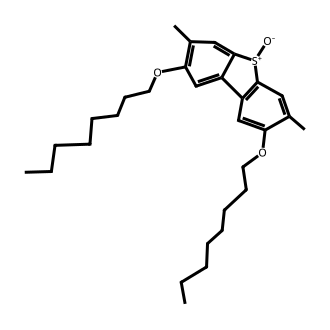 CCCCCCCCOc1cc2c3cc(OCCCCCCCC)c(C)cc3[s+]([O-])c2cc1C